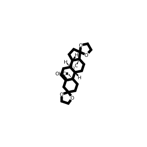 C[C@]12CC[C@H]3[C@@H](CC=C4CC5(CC[C@@]43CC=O)OCCO5)[C@@H]1CCC21OCCO1